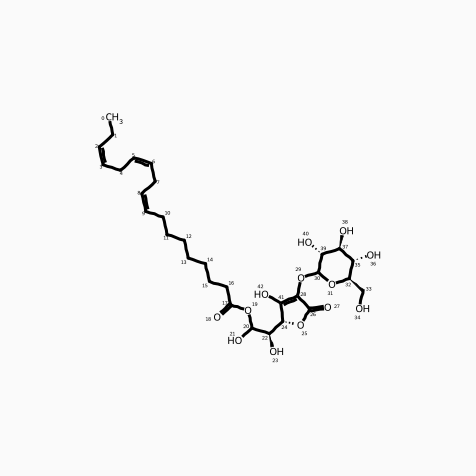 CC/C=C\C/C=C\C/C=C\CCCCCCCC(=O)OC(O)[C@H](O)[C@H]1OC(=O)C(OC2O[C@H](CO)[C@@H](O)[C@H](O)[C@H]2O)=C1O